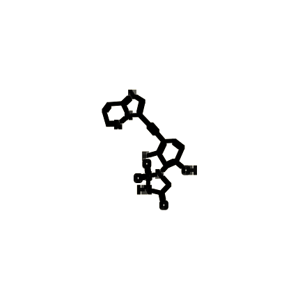 O=C1CN(c2c(O)ccc(C#Cc3cnc4cccnn34)c2F)S(=O)(=O)N1